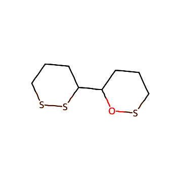 C1CSOC(C2CCCSS2)C1